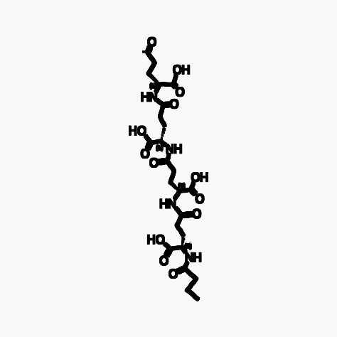 CCCC(=O)N[C@@H](CCC(=O)N[C@@H](CCC(=O)N[C@@H](CCC(=O)N[C@@H](CC[C]=O)C(=O)O)C(=O)O)C(=O)O)C(=O)O